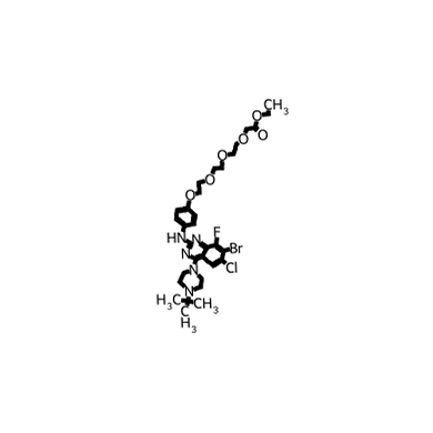 CCOC(=O)COCCOCCOCCOc1ccc(Nc2nc(N3CCN(C(C)(C)C)CC3)c3cc(Cl)c(Br)c(F)c3n2)cc1